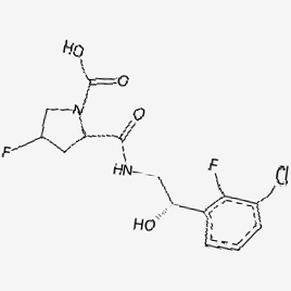 O=C(NC[C@@H](O)c1cccc(Cl)c1F)C1CC(F)CN1C(=O)O